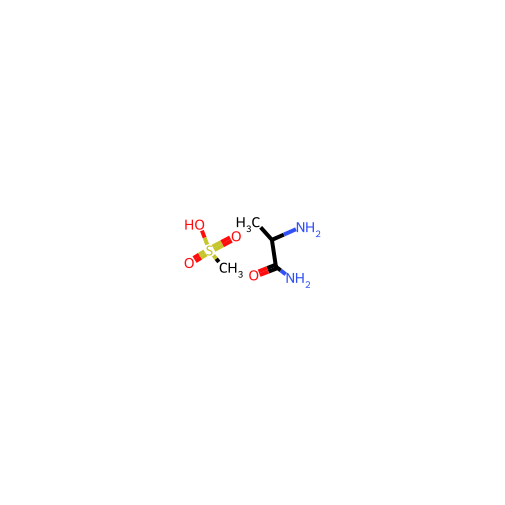 CC(N)C(N)=O.CS(=O)(=O)O